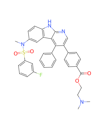 CN(C)CCOC(=O)c1ccc(-c2cnc3[nH]c4ccc(N(C)S(=O)(=O)c5cccc(F)c5)cc4c3c2-c2ccccc2)cc1